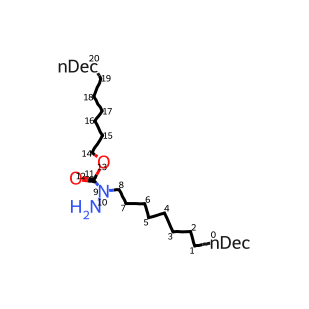 CCCCCCCCCCCCCCCCCCN(N)C(=O)OCCCCCCCCCCCCCCCC